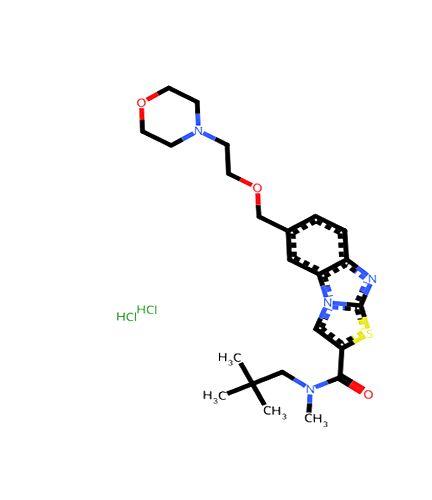 CN(CC(C)(C)C)C(=O)c1cn2c(nc3ccc(COCCN4CCOCC4)cc32)s1.Cl.Cl